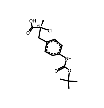 CC(C)(C)OC(=O)Nc1ccc(C[C@@](C)(Cl)C(=O)O)cc1